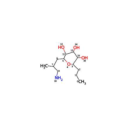 CCCC1OC(CC(C)CN)C(O)C(O)C1O